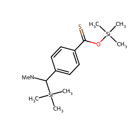 CNC(c1ccc(C(=S)O[Si](C)(C)C)cc1)[Si](C)(C)C